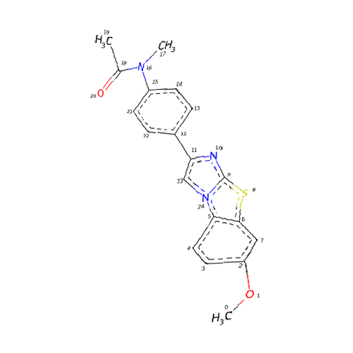 COc1ccc2c(c1)sc1nc(-c3ccc(N(C)C(C)=O)cc3)cn12